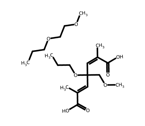 CCCOC(C=C(C)C(=O)O)(C=C(C)C(=O)O)COC.CCCOCCOC